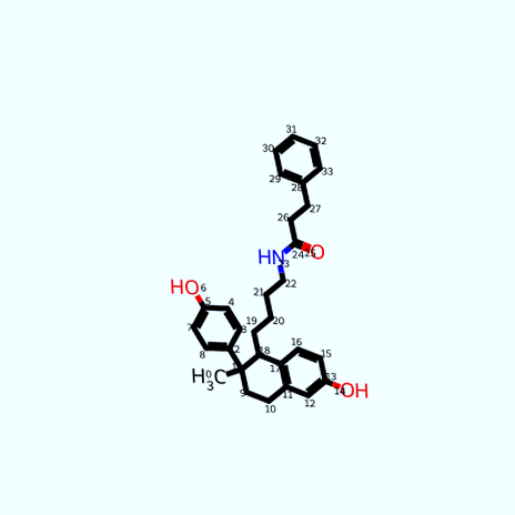 CC1(c2ccc(O)cc2)CCc2cc(O)ccc2C1CCCCNC(=O)CCc1ccccc1